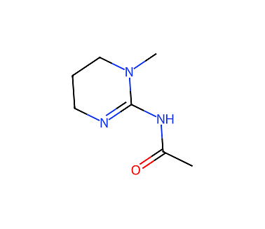 CC(=O)NC1=NCCCN1C